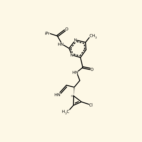 CC1=C(Cl)[C@H]1C(C=N)CNC(=O)c1cc(C)nc(NC(=O)C(C)C)n1